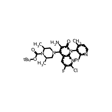 Cc1ccnc(C(C)C)c1-n1c(=O)c(N)c(N2CC(C)N(C(=O)OC(C)(C)C)[C@H](C)C2)c2cc(F)c(Cl)nc21